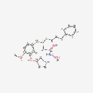 COc1ccc(SC(CCCCc2ccccc2)CC(=O)NO)cc1OC1CCCC1